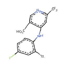 CCc1cc(F)ccc1Nc1cc(C(F)(F)F)ncc1C(=O)O